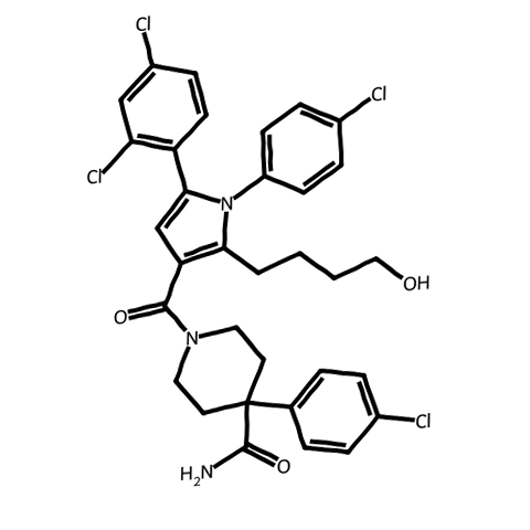 NC(=O)C1(c2ccc(Cl)cc2)CCN(C(=O)c2cc(-c3ccc(Cl)cc3Cl)n(-c3ccc(Cl)cc3)c2CCCCO)CC1